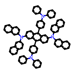 c1ccc(N(c2ccccc2)c2ccc(-c3c4ccc(N(c5ccc6ccccc6c5)c5ccc6ccccc6c5)cc4c(-c4ccc(N(c5ccccc5)c5ccccc5)cc4)c4ccc(N(c5ccc6ccccc6c5)c5ccc6ccccc6c5)cc34)cc2)cc1